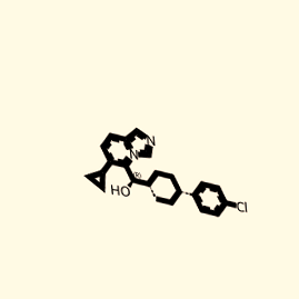 O[C@@H](c1c(C2CC2)ccc2cncn12)[C@H]1CC[C@@H](c2ccc(Cl)cc2)CC1